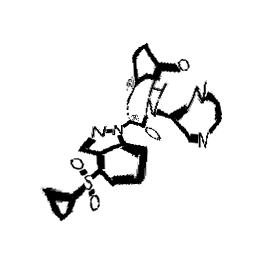 O=C1CC[C@H](C[C@H](C(=O)Nc2cnccn2)n2ncc3c(S(=O)(=O)C4CC4)cccc32)C1